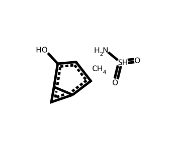 C.N[SH](=O)=O.Oc1ccc2cc1-2